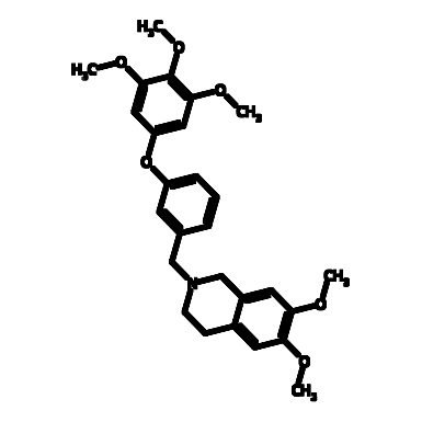 COc1cc2c(cc1OC)CN(Cc1cccc(Oc3cc(OC)c(OC)c(OC)c3)c1)CC2